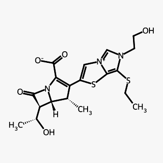 CCSc1c2sc(C3=C(C(=O)[O-])N4C(=O)[C@H]([C@@H](C)O)[C@H]4[C@H]3C)c[n+]2cn1CCO